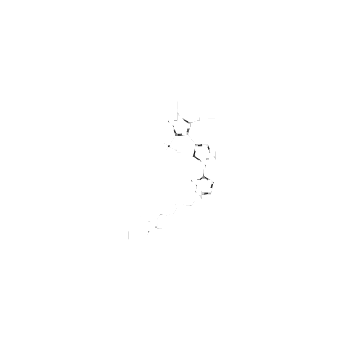 Cc1[nH]nc(C(F)(F)F)c1-c1cnn(-c2ccn(COCC[Si](C)(C)C)n2)c1